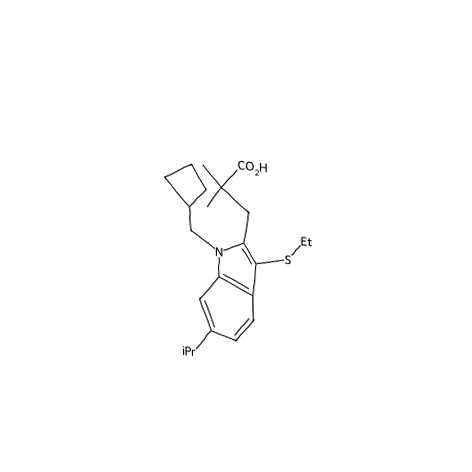 CCSc1c(CC(C)(C)C(=O)O)n(CC2CCC2)c2cc(C(C)C)ccc12